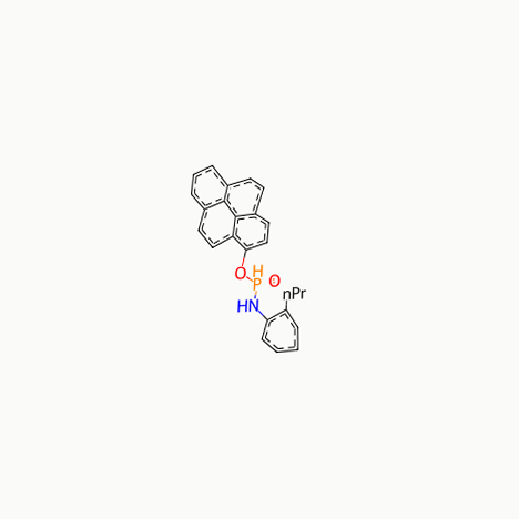 CCCc1ccccc1N[PH](=O)Oc1ccc2ccc3cccc4ccc1c2c34